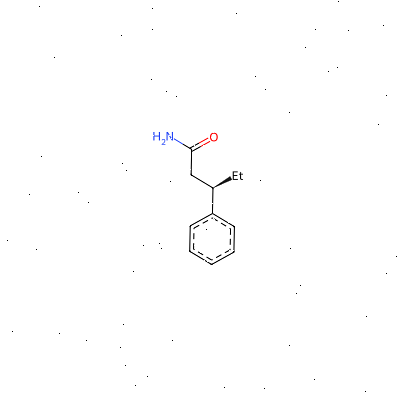 CC[C@H](CC(N)=O)c1ccccc1